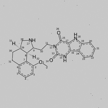 COc1cccc2c1[C@@H]1C(CCn3c(=O)[nH]c4c([nH]c5ccccc54)c3=O)NC[C@@H]1CC2